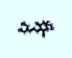 [C-]#[N+]CN(/C=C/C=C1C(=O)OC(C)(CCl)OC1=O)C[N+]#[C-]